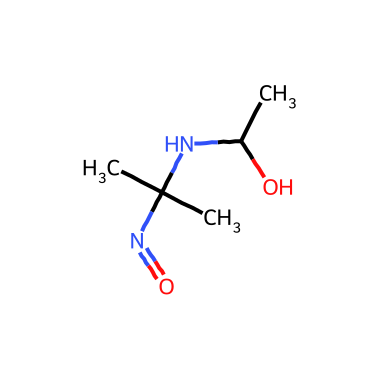 CC(O)NC(C)(C)N=O